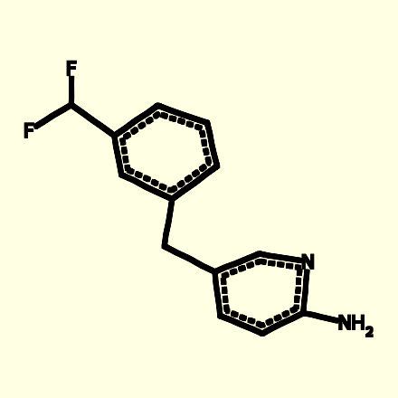 Nc1ccc(Cc2cccc(C(F)F)c2)cn1